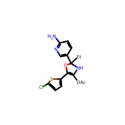 CCC1(c2ccc(N)nc2)NC(OC(C)=O)=C(c2ccc(Cl)s2)O1